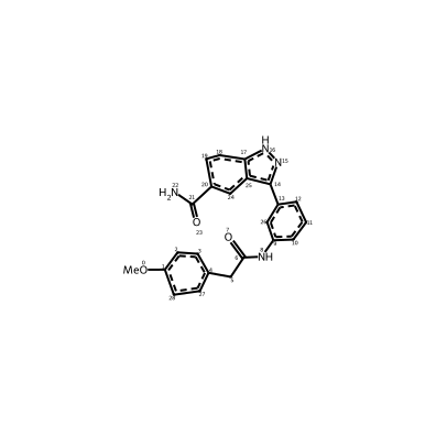 COc1ccc(CC(=O)Nc2cccc(-c3n[nH]c4ccc(C(N)=O)cc34)c2)cc1